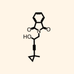 CC1(C#CC(O)CN2C(=O)c3ccccc3C2=O)CC1